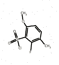 COc1ccc(C)c(F)c1S(=O)(=O)Cl